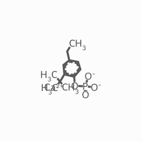 CCc1ccc(OP(=O)([O-])[O-])c(C(C)(C)C)c1.[Ca+2]